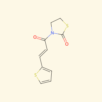 O=C(/C=C/c1cccs1)N1CCSC1=O